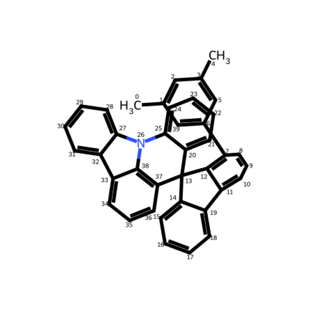 Cc1cc(C)cc(-c2cccc3c2C2(c4ccccc4-3)c3ccccc3-n3c4ccccc4c4cccc2c43)c1